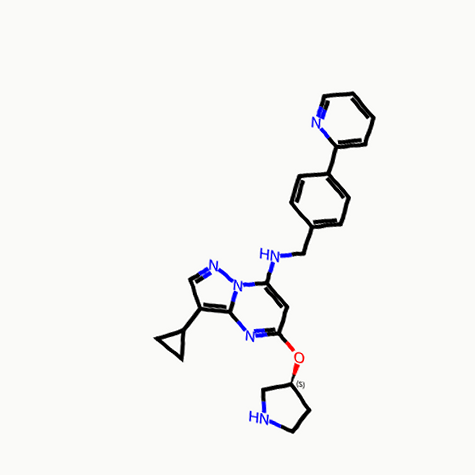 c1ccc(-c2ccc(CNc3cc(O[C@H]4CCNC4)nc4c(C5CC5)cnn34)cc2)nc1